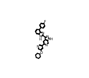 Fc1ccc(-c2cccc3[nH]c(-c4n[nH]c5cnc(-c6cncc(OC7CCCCC7)c6)cc45)nc23)cc1